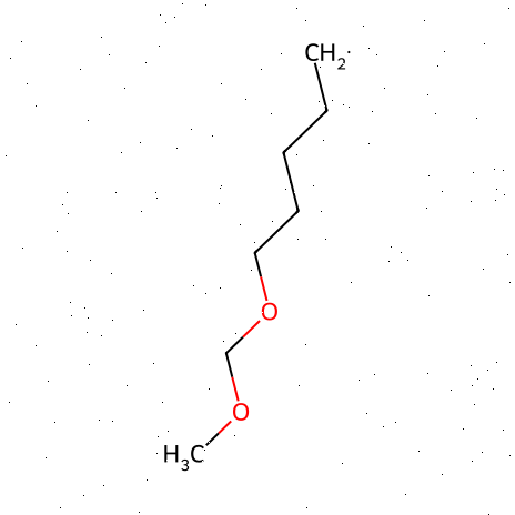 [CH2]CCCCOCOC